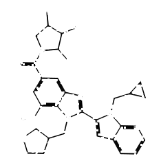 CCC1CN(C(=O)c2cc(OC)c3c(c2)nc(-c2cc4cccnc4n2CC2CC2)n3CC2CCOC2)C(C)C1N